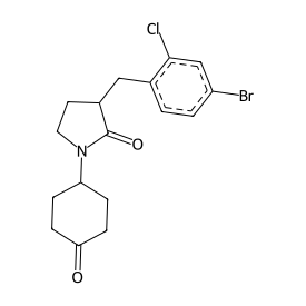 O=C1CCC(N2CCC(Cc3ccc(Br)cc3Cl)C2=O)CC1